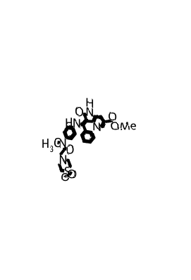 COC(=O)c1cnc2c(c1)NC(=O)/C2=C(\Nc1ccc(N(C)C(=O)CN2CCS(=O)(=O)CC2)cc1)c1ccccc1